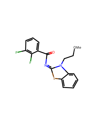 COCCn1c(=NC(=O)c2cccc(F)c2F)sc2ccccc21